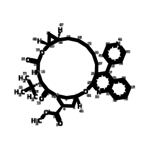 COC(=O)[C@@H]1C[C@@H]2CN1C(=O)[C@H](C(C)(C)C)NC(=O)O[C@@H]1C[C@H]1CCCCCc1c(nc3ccccc3c1-c1ccncc1)O2